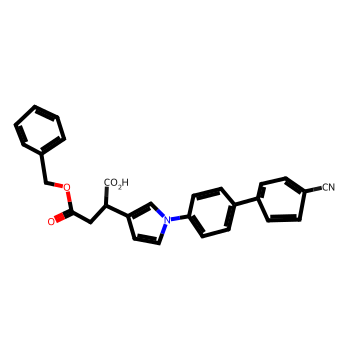 N#Cc1ccc(-c2ccc(-n3ccc(C(CC(=O)OCc4ccccc4)C(=O)O)c3)cc2)cc1